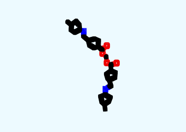 Cc1ccc(N=Cc2ccc(C(=O)OCOC(=O)c3ccc(C=Nc4ccc(C)cc4)cc3)cc2)cc1